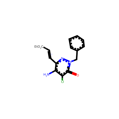 CCOC(=O)/C=C/c1nn(Cc2ccccc2)c(=O)c(Cl)c1N